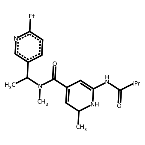 CCc1ccc(C(C)N(C)C(=O)C2=CC(C)NC(NC(=O)C(C)C)=C2)cn1